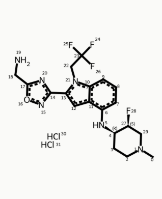 CN1CC[C@@H](Nc2cccc3c2cc(-c2noc(CN)n2)n3CC(F)(F)F)[C@@H](F)C1.Cl.Cl